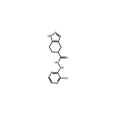 O=C(NNc1nccnc1Cl)C1CCc2[nH]ncc2C1